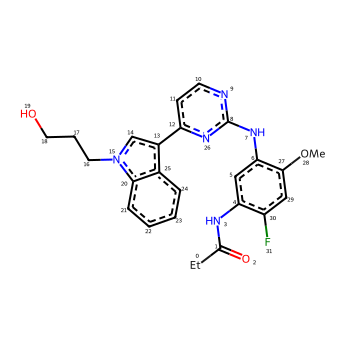 CCC(=O)Nc1cc(Nc2nccc(-c3cn(CCCO)c4ccccc34)n2)c(OC)cc1F